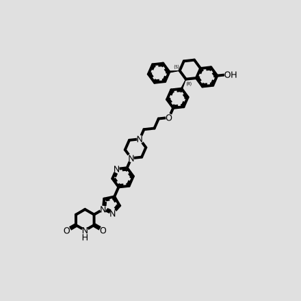 O=C1CCC(n2cc(-c3ccc(N4CCN(CCCOc5ccc([C@@H]6c7ccc(O)cc7CC[C@@H]6c6ccccc6)cc5)CC4)nc3)cn2)C(=O)N1